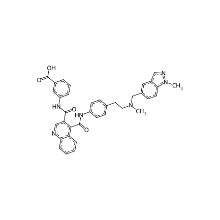 CN(CCc1ccc(NC(=O)c2c(C(=O)Nc3cccc(C(=O)O)c3)cnc3ccccc23)cc1)Cc1ccc2c(cnn2C)c1